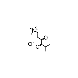 C=C(C)C(=O)C(=O)CC[N+](C)(C)C.[Cl-]